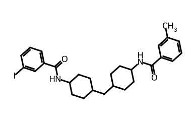 Cc1cccc(C(=O)NC2CCC(CC3CCC(NC(=O)c4cccc(I)c4)CC3)CC2)c1